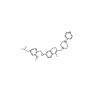 COc1cc(CC(C)C)ccc1COc1ccc2c(c1)CCC(CN1CCN(c3ccncc3)CC1)=C2C